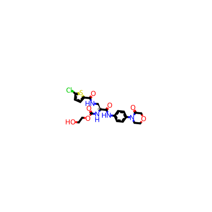 O=C(N[C@@H](CNC(=O)c1ccc(Cl)s1)C(=O)Nc1ccc(N2CCOCC2=O)cc1)OCCO